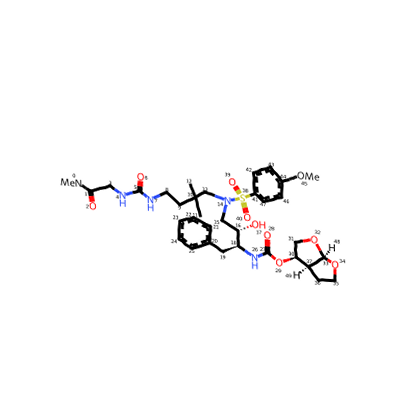 CNC(=O)CNC(=O)NCCC(C)(C)CN(C[C@H](O)[C@H](Cc1ccccc1)NC(=O)O[C@H]1CO[C@H]2OCC[C@H]21)S(=O)(=O)c1ccc(OC)cc1